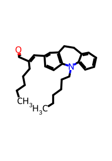 CCCCCCN1c2ccccc2CCc2cc(/C=C(/C=O)CCCCC)ccc21